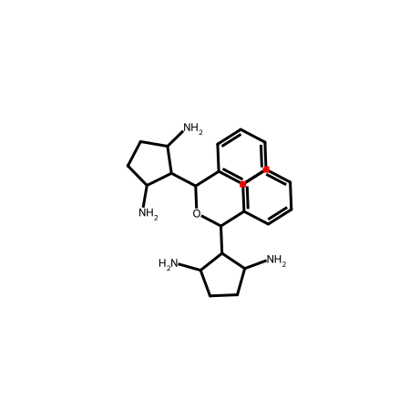 NC1CCC(N)C1C(OC(c1ccccc1)C1C(N)CCC1N)c1ccccc1